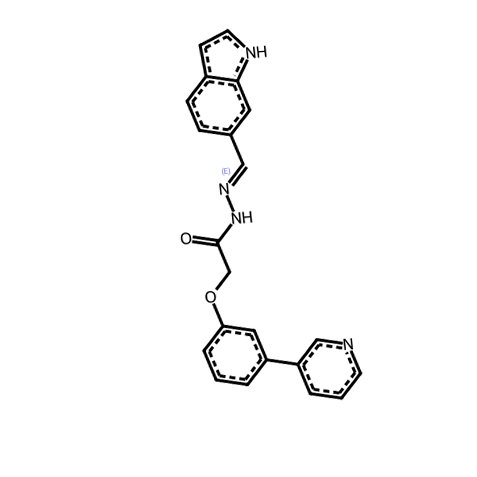 O=C(COc1cccc(-c2cccnc2)c1)N/N=C/c1ccc2cc[nH]c2c1